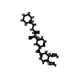 CC1=CC=C(Oc2cccc(C(=O)NCCN3CCCCC3)c2)CC1C